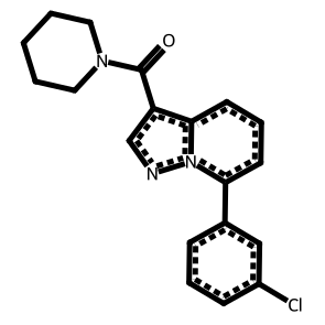 O=C(c1cnn2c(-c3cccc(Cl)c3)cccc12)N1CCCCC1